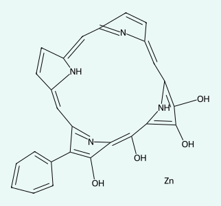 OC1=C(c2ccccc2)c2cc3ccc(cc4nc(cc5[nH]c(c(O)c1n2)c(O)c5O)C=C4)[nH]3.[Zn]